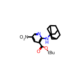 CC(C)(C)OC(=O)c1cc([N+](=O)[O-])cnc1NC12CC3CC(CC(C3)C1)C2